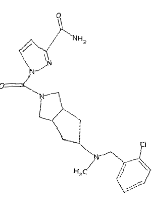 CN(Cc1ccccc1Cl)C1CC2CN(C(=O)n3ccc(C(N)=O)n3)CC2C1